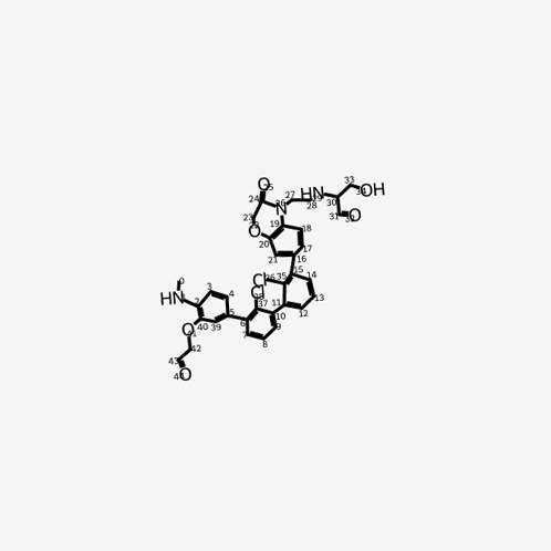 CNc1ccc(-c2cccc(-c3cccc(-c4ccc5c(c4)OCC(=O)N5CCNC(C=O)CO)c3Cl)c2Cl)cc1OCC=O